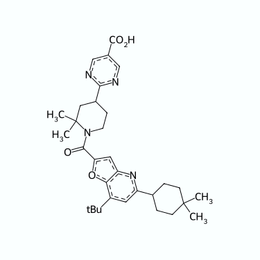 CC1(C)CCC(c2cc(C(C)(C)C)c3oc(C(=O)N4CCC(c5ncc(C(=O)O)cn5)CC4(C)C)cc3n2)CC1